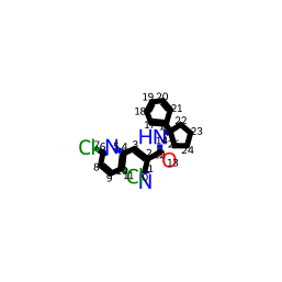 N#CC(=Cc1nc(Cl)ccc1Cl)C(=O)NC1(c2ccccc2)CCCC1